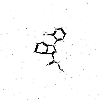 COC(=O)c1nn(-c2nccnc2N)c2ccccc12